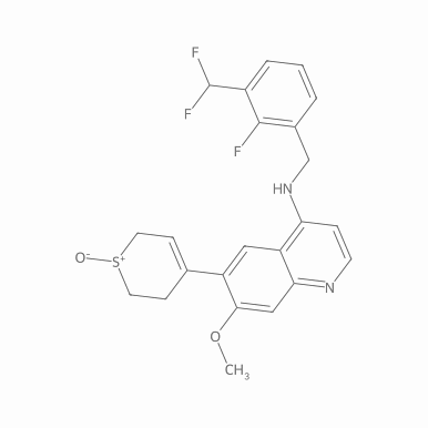 COc1cc2nccc(NCc3cccc(C(F)F)c3F)c2cc1C1=CC[S+]([O-])CC1